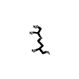 CCC(C)CCOC(N)CC